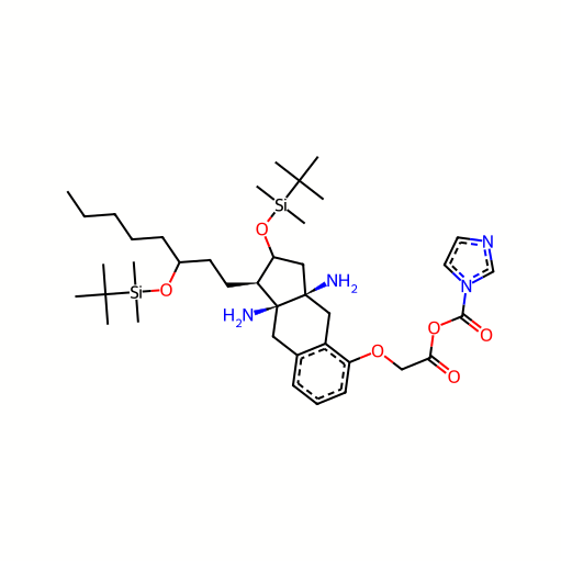 CCCCCC(CC[C@H]1C(O[Si](C)(C)C(C)(C)C)C[C@]2(N)Cc3c(cccc3OCC(=O)OC(=O)n3ccnc3)C[C@]12N)O[Si](C)(C)C(C)(C)C